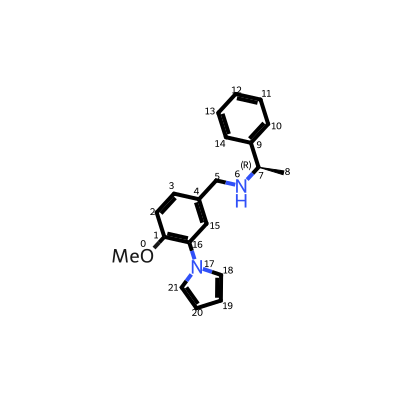 COc1ccc(CN[C@H](C)c2ccccc2)cc1-n1cccc1